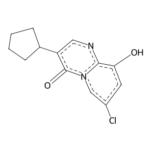 O=c1c(C2CCCC2)cnc2c(O)cc(Cl)cn12